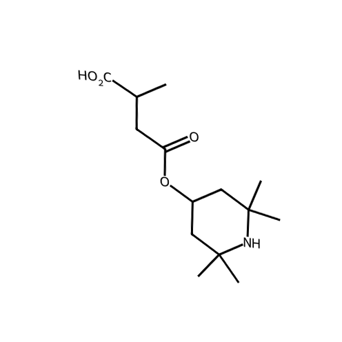 CC(CC(=O)OC1CC(C)(C)NC(C)(C)C1)C(=O)O